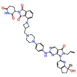 C=CCn1c(=O)c2cnc(Nc3ccc(N4CCN(CC5CN(c6cccc7c6C(=O)N(C6CCC(=O)NC6=O)C7=O)C5)CC4)cc3)nc2n1-c1ccc2c(n1)[C@@](O)(CC)CC2